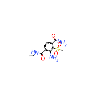 CCNC(=O)c1ccc(C(N)=O)c(S(C)(=O)=O)c1N